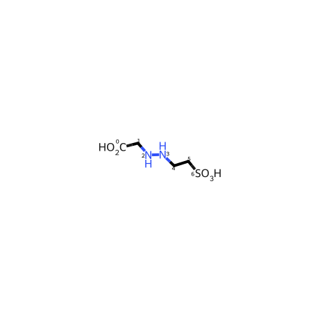 O=C(O)CNNCCS(=O)(=O)O